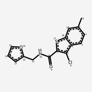 Cc1ccc2c(Cl)c(C(=O)NCc3ccco3)sc2c1